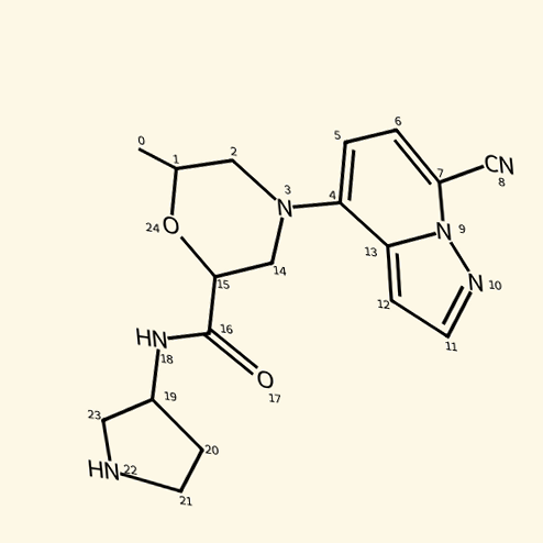 CC1CN(c2ccc(C#N)n3nccc23)CC(C(=O)NC2CCNC2)O1